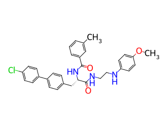 COc1ccc(NCCNC(=O)[C@H](Cc2ccc(-c3ccc(Cl)cc3)cc2)NC(=O)c2cccc(C)c2)cc1